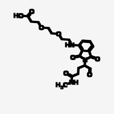 CNC(=O)CCC(C=O)N1C(=O)c2cccc(NCCOCCOCCC(=O)O)c2C1=O